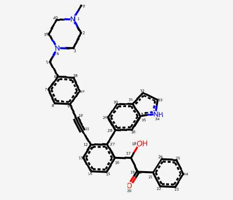 CN1CCN(Cc2ccc(C#Cc3cccc(C(O)C(=O)c4ccccc4)c3-c3ccc4cc[nH]c4c3)cc2)CC1